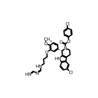 COc1ccc([C@H]2c3[nH]c4ccc(Cl)cc4c3CCN2C(=O)Oc2ccc(Cl)cc2)cc1OCCCN/C=N\C=N